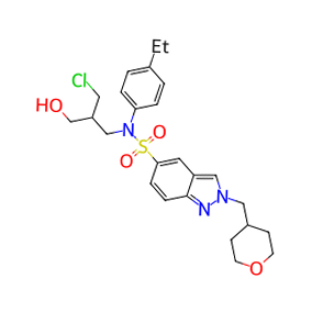 CCc1ccc(N(CC(CO)CCl)S(=O)(=O)c2ccc3nn(CC4CCOCC4)cc3c2)cc1